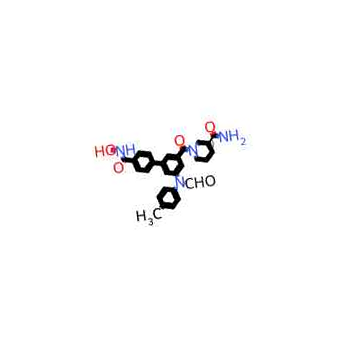 Cc1ccc(N(C=O)c2cc(C(=O)N3CCC[C@H](C(N)=O)C3)cc(-c3ccc(C(=O)NO)cc3)c2)cc1